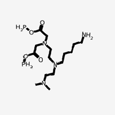 CN(C)CCN(CCCCCN)CCN(CC(=O)OP)CC(=O)OP